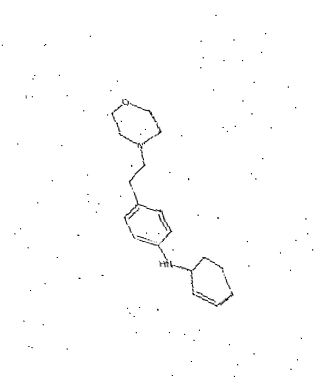 C1=CC(Nc2ccc(CCN3CCOCC3)cc2)CCC1